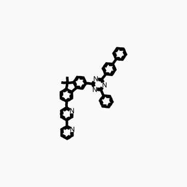 CC1(C)c2ccc(-c3ccc(-c4ccccn4)cn3)cc2-c2cc(-c3nc(-c4ccccc4)nc(-c4ccc(-c5ccccc5)cc4)n3)ccc21